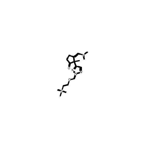 CN(C)C=C1CCC(=O)C1(C)c1cnn(COCC[Si](C)(C)C)n1